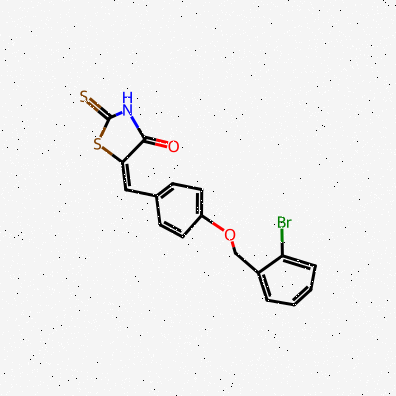 O=C1NC(=S)S/C1=C/c1ccc(OCc2ccccc2Br)cc1